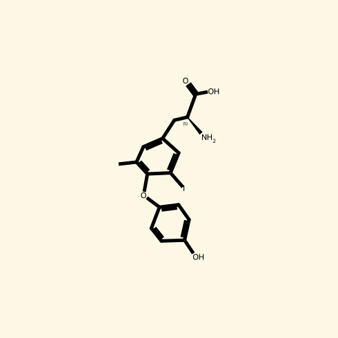 Cc1cc(C[C@H](N)C(=O)O)cc(I)c1Oc1ccc(O)cc1